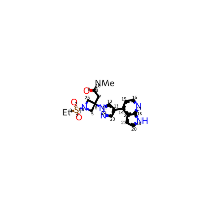 CCS(=O)(=O)N1CC(CC(=O)NC)(n2cc(-c3ccnc4[nH]ccc34)cn2)C1